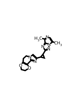 Cc1ncc(C)n2nc(C3CC3c3cn4c(n3)C3=C(CC4)OCCO3)nc12